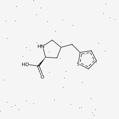 O=C(O)[C@@H]1CC(Cc2cccs2)CN1